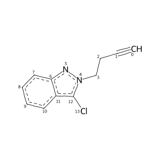 C#CCCn1nc2ccccc2c1Cl